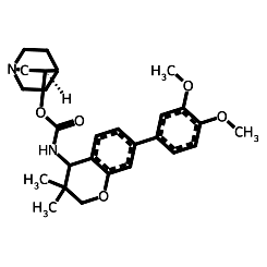 COc1ccc(-c2ccc3c(c2)OCC(C)(C)C3NC(=O)O[C@H]2CN3CCC2CC3)cc1OC